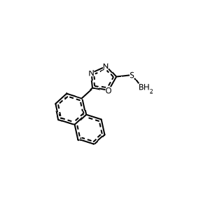 BSc1nnc(-c2cccc3ccccc23)o1